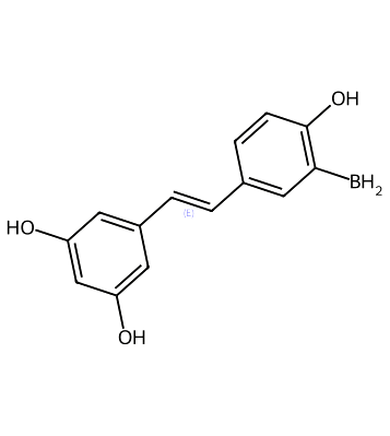 Bc1cc(/C=C/c2cc(O)cc(O)c2)ccc1O